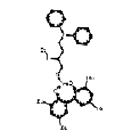 CCOC(CCP(c1ccccc1)c1ccccc1)COp1oc2c(C(C)(C)C)cc(C(C)(C)C)cc2c2cc(C(C)(C)C)cc(C(C)(C)C)c2o1